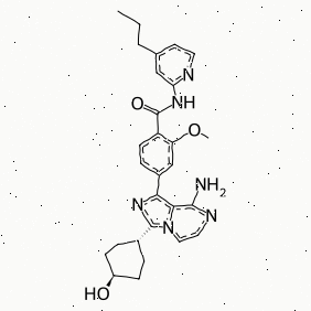 CCCc1ccnc(NC(=O)c2ccc(-c3nc([C@H]4CC[C@H](O)CC4)n4ccnc(N)c34)cc2OC)c1